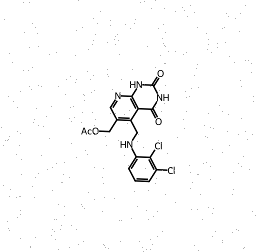 CC(=O)OCc1cnc2[nH]c(=O)[nH]c(=O)c2c1CNc1cccc(Cl)c1Cl